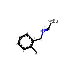 Cc1ccccc1C/N=C/C(C)(C)C